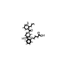 CCCC1C(C(=O)N2CCC(O)(c3ccccc3OCCCC(=O)O)CC2)CCCN1C